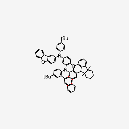 CC(C)(C)c1ccc(N(c2ccc3c(c2)N(c2ccc(C(C)(C)C)cc2-c2ccccc2)c2cc(-c4ccccc4)cc4c2B3c2cccc3c2C4C2(C)CCCCC32C)c2ccc3oc4ccccc4c3c2)cc1